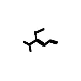 C=C/N=C(\SC)C(C)C